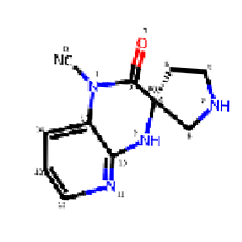 N#CN1C(=O)[C@]2(CCNC2)Nc2ncccc21